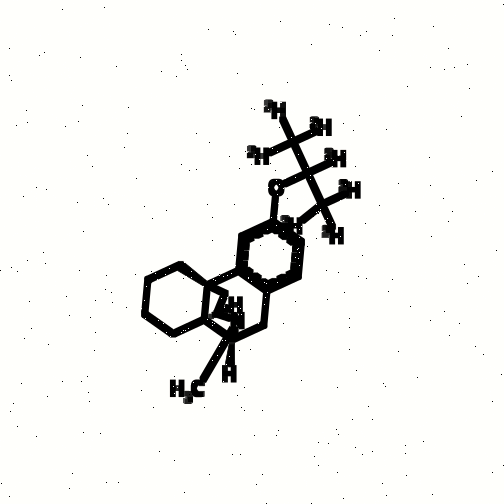 [2H]C([2H])([2H])C([2H])(Oc1ccc2c(c1)[C@@]13CCCC[C@@H]1[C@@H](C2)N(C)CC3)C([2H])([2H])[2H]